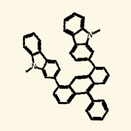 Cn1c2ccccc2c2ccc(-c3cccc4c(-c5ccccc5)c5cccc(-c6ccc7c8ccccc8n(C)c7c6)c5cc34)cc21